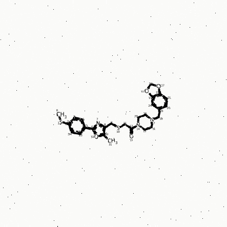 CSc1ccc(-c2nc(CSCC(=O)N3CCN(Cc4ccc5c(c4)OCO5)CC3)c(C)o2)cc1